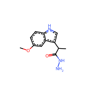 COc1ccc2[nH]cc(C(C)C(=O)NN)c2c1